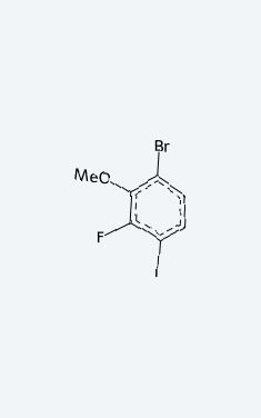 COc1c(Br)ccc(I)c1F